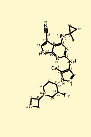 CC1(Nc2nc(Nc3cnn([C@H]4CCN(C5COC5)C[C@@H]4F)c3Cl)nc3[nH]cc(C#N)c23)CC1